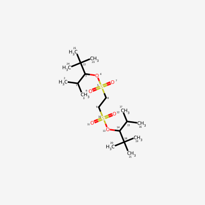 CC(C)C(OS(=O)(=O)CCS(=O)(=O)OC(C(C)C)C(C)(C)C)C(C)(C)C